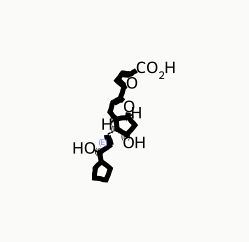 O=C(O)c1ccc(C2=CC[C@@H]3[C@@H](/C=C/[C@@H](O)C4CCCC4)[C@H](O)C[C@@H]3O2)o1